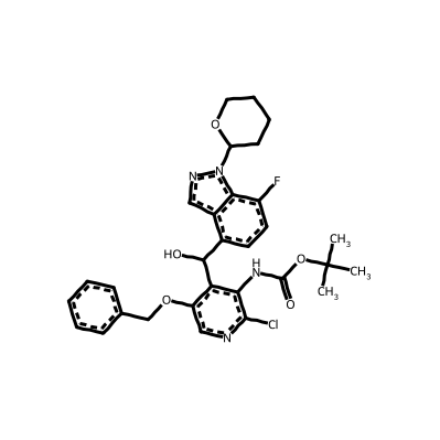 CC(C)(C)OC(=O)Nc1c(Cl)ncc(OCc2ccccc2)c1C(O)c1ccc(F)c2c1cnn2C1CCCCO1